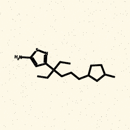 CCC(CC)(CCCC1CCC(C)C1)c1cc(N)sn1